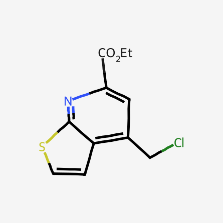 CCOC(=O)c1cc(CCl)c2ccsc2n1